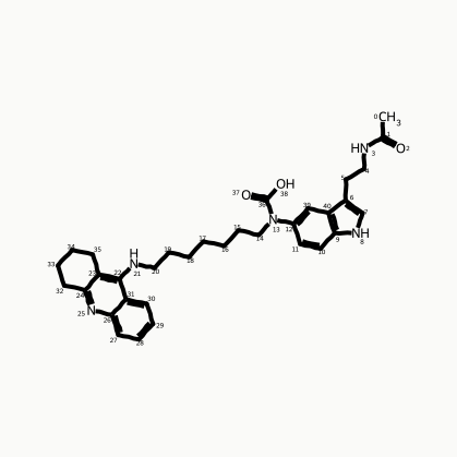 CC(=O)NCCc1c[nH]c2ccc(N(CCCCCCCNc3c4c(nc5ccccc35)CCCC4)C(=O)O)cc12